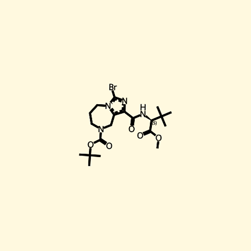 COC(=O)[C@@H](NC(=O)c1nc(Br)n2c1CN(C(=O)OC(C)(C)C)CCC2)C(C)(C)C